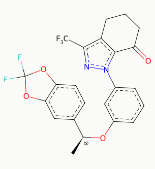 C[C@H](Oc1cccc(-n2nc(C(F)(F)F)c3c2C(=O)CCC3)c1)c1ccc2c(c1)OC(F)(F)O2